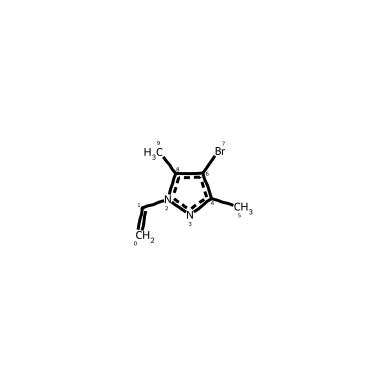 C=Cn1nc(C)c(Br)c1C